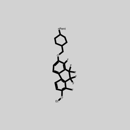 CCCCCC1CCC(COc2ccc3c(c2F)C(F)(F)C(F)(F)c2c-3ccc(OCC)c2F)CC1